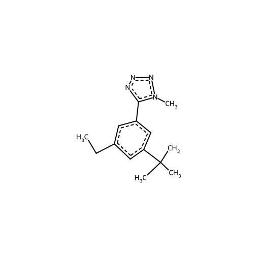 CCc1cc(-c2nnnn2C)cc(C(C)(C)C)c1